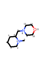 CN1CCCCC1CN1CCOCC1